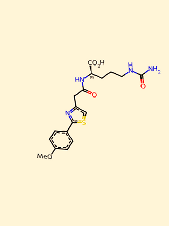 COc1ccc(-c2nc(CC(=O)N[C@H](CCCNC(N)=O)C(=O)O)cs2)cc1